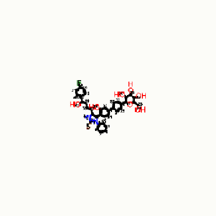 CN1C(=S)N(c2ccccc2)C(c2ccc(-c3ccc(C4OC(CO)C(O)C(O)C4O)cc3)cc2O)C1CCCC(O)c1ccc(F)cc1